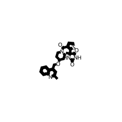 Cc1cc(COC2CCN(C(=O)c3ccsc3C3(C)NC(=O)NC3=O)CC2)c2ccccc2n1